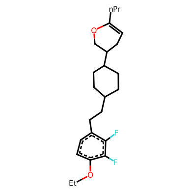 CCCC1=CCC(C2CCC(CCc3ccc(OCC)c(F)c3F)CC2)CO1